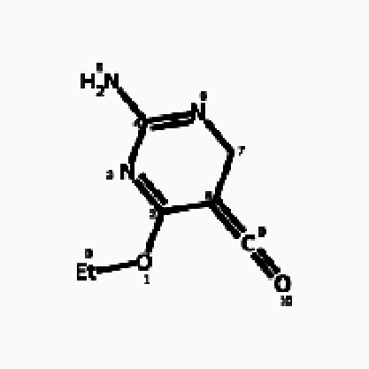 CCOC1=NC(N)=NCC1=C=O